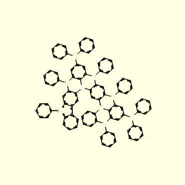 c1ccc(N(c2ccccc2)c2cc3c4c(c2)N(c2ccccc2)c2cc5c(cc2B4c2ccccc2N3c2ccccc2)B2c3cc4c6ccccc6n(-c6ccccc6)c4cc3N(c3ccccc3)c3cc(N(c4ccccc4)c4ccccc4)cc(c32)N5c2ccccc2)cc1